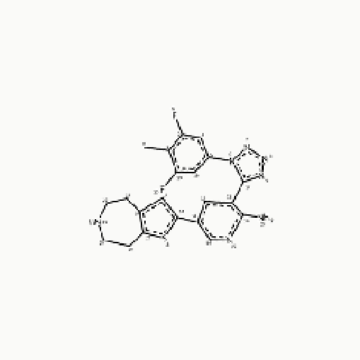 Cc1c(F)cc(-n2nnnc2-c2cc(-c3cc4c(s3)CCNCC4)cnc2N)cc1F